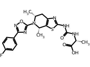 C[C@@H]1Cc2nc(NC(=O)N[C@H](C)C(=O)O)sc2[C@H](C)N1c1nc(-c2ccc(F)cc2)no1